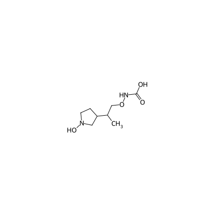 CC(CONC(=O)O)C1CCN(O)C1